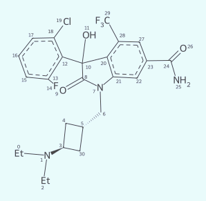 CCN(CC)[C@H]1C[C@H](CN2C(=O)C(O)(c3c(F)cccc3Cl)c3c2cc(C(N)=O)cc3C(F)(F)F)C1